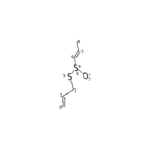 C=CCS[S+]([O-])C=CC